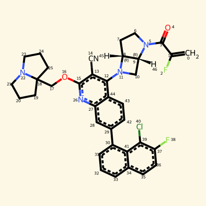 C=C(F)C(=O)N1CC[C@@H]2[C@H]1CN2c1c(C#N)c(OCC23CCCN2CCC3)nc2cc(-c3cccc4ccc(F)c(Cl)c34)ccc12